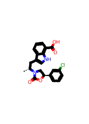 C[C@H](Cc1c[nH]c2c(C(=O)O)cccc12)N1C[C@@H](c2cccc(Cl)c2)OC1=O